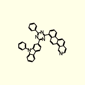 c1ccc(-c2nc(-c3ccc4c5ccccc5n(-c5ccccc5)c4c3)nc(-c3cccc4c3ccc3c5cnccc5ccc43)n2)cc1